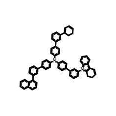 C1=CCCC(c2cccc(-c3ccc(N(c4ccc(-c5cccc(-c6cccc7ccccc67)c5)cc4)c4ccc(-c5cccc(-n6c7c(c8ccccc86)C=CCC7)c5)cc4)cc3)c2)=C1